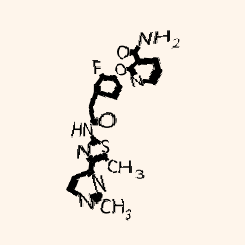 Cc1nccc(-c2nc(NC(=O)Cc3ccc(Oc4ncccc4C(N)=O)c(F)c3)sc2C)n1